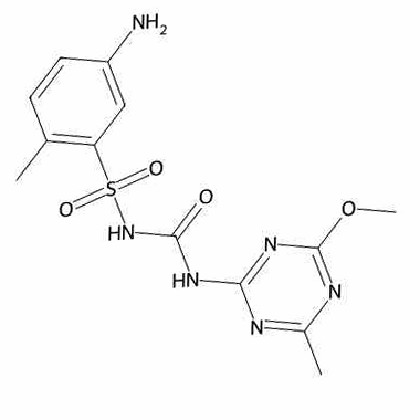 COc1nc(C)nc(NC(=O)NS(=O)(=O)c2cc(N)ccc2C)n1